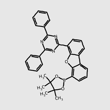 CC1(C)OB(c2cccc3c2oc2c(-c4nc(-c5ccccc5)nc(-c5ccccc5)n4)cccc23)OC1(C)C